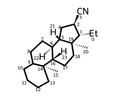 CC[C@H]1[C@H](C#N)C[C@H]2[C@@H]3CCC4CCCC[C@]4(C)[C@H]3CC[C@@]21C